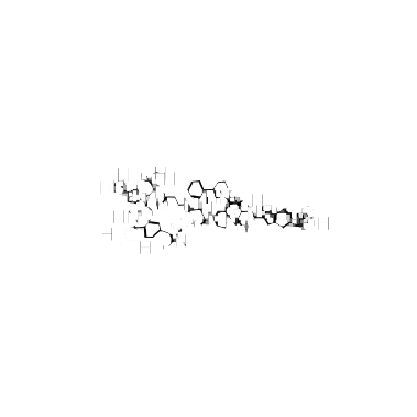 Cc1ncsc1-c1ccc([C@H](C)NC(=O)[C@@H]2C[C@@H](O)CN2C(=O)C(NC(=O)CCNC(=O)CC(=O)N2CCN(C(=O)C(NC(=O)c3cc4cc(C(F)(F)P(=O)(O)O)ccc4s3)C(C)(C)C)C(C(=O)N3CCCC(c4ccccc4)C3)C2)C(C)(C)C)cc1